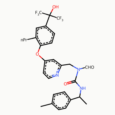 CCCc1cc(C(O)(C(F)(F)F)C(F)(F)F)ccc1Oc1ccnc(CN(C=O)C(=O)NC(C)c2ccc(C)cc2)c1